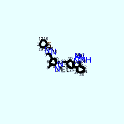 CCc1nc2c(C)cc(-c3cn4c5c(sc4n3)CCCC5)cc2n1Cc1ccc(-c2ccccc2-c2nnn[nH]2)cc1